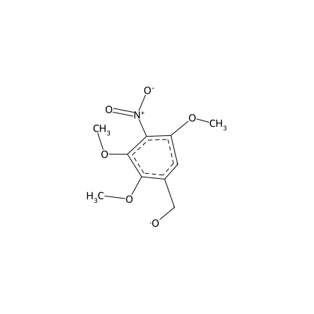 COc1cc(C[O])c(OC)c(OC)c1[N+](=O)[O-]